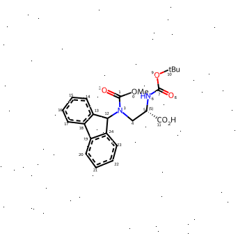 COC(=O)N(C[C@H](NC(=O)OC(C)(C)C)C(=O)O)C1c2ccccc2-c2ccccc21